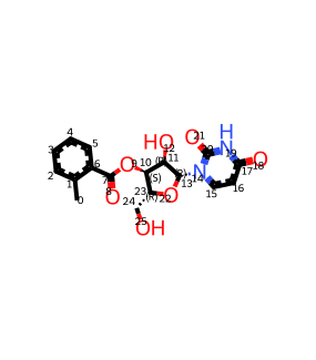 Cc1ccccc1C(=O)O[C@H]1[C@@H](O)[C@H](n2ccc(=O)[nH]c2=O)O[C@@H]1CO